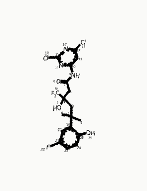 CC(C)(CC(O)(CC(=O)Nc1cc(Cl)nc(Cl)n1)C(F)(F)F)c1cc(F)ccc1O